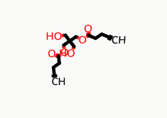 C#CCCC(=O)OCC(CO)(CO)COC(=O)CCC#C